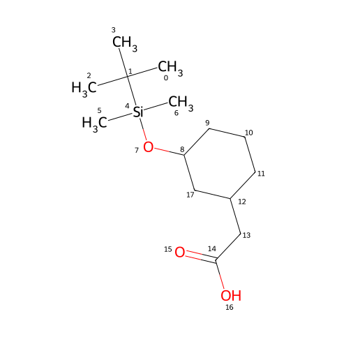 CC(C)(C)[Si](C)(C)OC1CCCC(CC(=O)O)C1